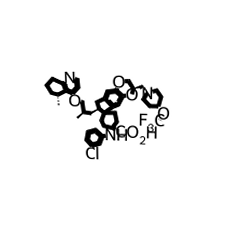 C[C@@H](COc1ccnc2c1[C@H](C)CCC2)C[C@H]1Cc2cc3c(cc2C12CCC(Nc1cccc(Cl)c1)(C(=O)O)CC2)O[C@H](CN1CCC(OC(F)(F)F)CC1)CO3